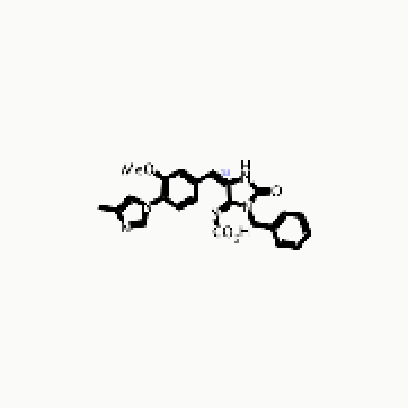 COc1cc(/C=C2/NC(=O)N(Cc3ccccc3)C2=NC(=O)O)ccc1-n1cnc(C)c1